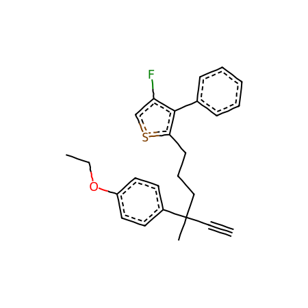 C#CC(C)(CCCc1scc(F)c1-c1ccccc1)c1ccc(OCC)cc1